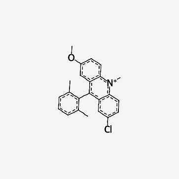 COc1ccc2c(c1)c(-c1c(C)cccc1C)c1cc(Cl)ccc1[n+]2C